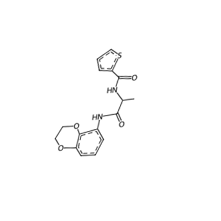 CC(NC(=O)c1cccs1)C(=O)Nc1cccc2c1OCCO2